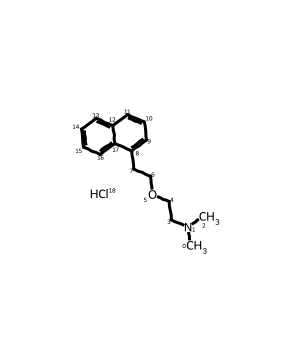 CN(C)CCOCCc1cccc2ccccc12.Cl